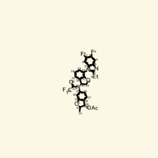 CCc1nc2cc(F)c(F)cc2n1-c1cccc2c1OC[C@H]2N(C(=O)C(F)(F)F)c1ccc2c(c1)OC(C)[C@H]2OC(C)=O